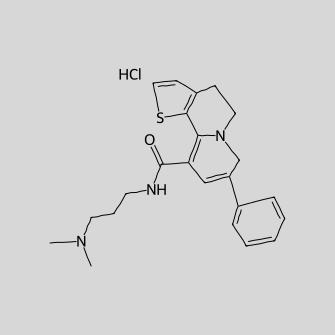 CN(C)CCCNC(=O)C1=C2c3sccc3CCN2CC(c2ccccc2)=C1.Cl